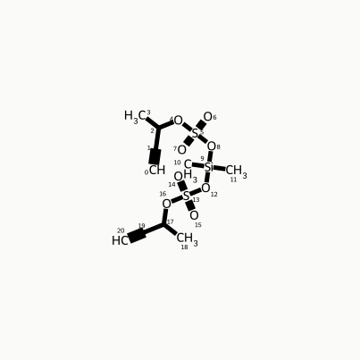 C#CC(C)OS(=O)(=O)O[Si](C)(C)OS(=O)(=O)OC(C)C#C